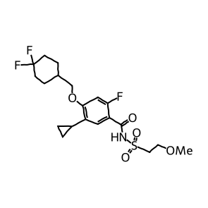 COCCS(=O)(=O)NC(=O)c1cc(C2CC2)c(OCC2CCC(F)(F)CC2)cc1F